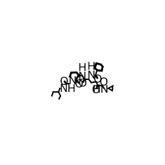 CCC(CC)CNC(=O)Cn1cccc(NC(=O)C(CCC(=O)C(=O)NC2CC2)NC(=O)c2ccccc2)c1=O